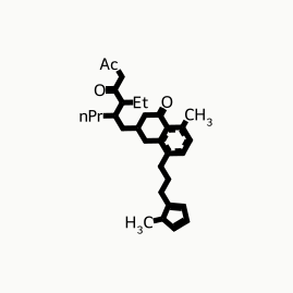 CCCC(CC1CC(=O)c2c(C)ccc(CCCC3=CC=CC3C)c2C1)C(CC)C(=O)CC(C)=O